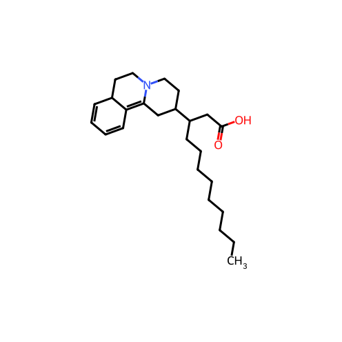 CCCCCCCCCC(CC(=O)O)C1CCN2CCC3C=CC=CC3=C2C1